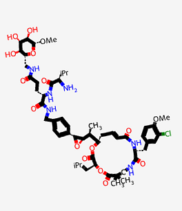 COc1ccc(C[C@H]2NC(=O)/C=C/C[C@@H]([C@H](C)[C@H]3O[C@@H]3c3ccc(CNC(=O)[C@H](CCC(=O)NC[C@H]4O[C@@H](OC)[C@H](O)[C@@H](O)[C@@H]4O)NC(=O)[C@@H](N)C(C)C)cc3)OC(=O)[C@H](CC(C)C)OC(=O)C(C)(C)CNC2=O)cc1Cl